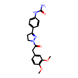 COc1ccc(CC(=O)N2CCC(c3ccc(NC(N)=O)cc3)=N2)cc1OC